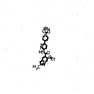 CCOc1cn2nc(C)cc2cc1C(=O)Nc1ccc(C2=CCN(C(=O)OC(C)(C)C)CC2)nn1